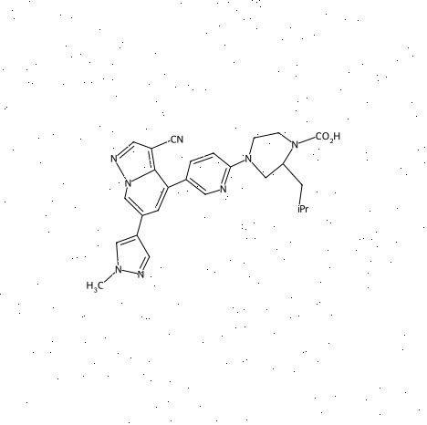 CC(C)CC1CN(c2ccc(-c3cc(-c4cnn(C)c4)cn4ncc(C#N)c34)cn2)CCN1C(=O)O